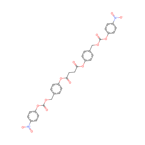 O=C(CCC(=O)Oc1ccc(COC(=O)Oc2ccc([N+](=O)[O-])cc2)cc1)Oc1ccc(COC(=O)Oc2ccc([N+](=O)[O-])cc2)cc1